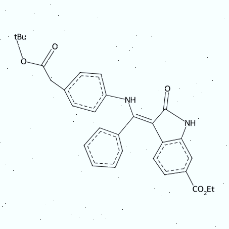 CCOC(=O)c1ccc2c(c1)NC(=O)/C2=C(\Nc1ccc(CC(=O)OC(C)(C)C)cc1)c1ccccc1